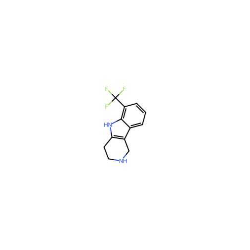 FC(F)(F)c1cccc2c3c([nH]c12)CCNC3